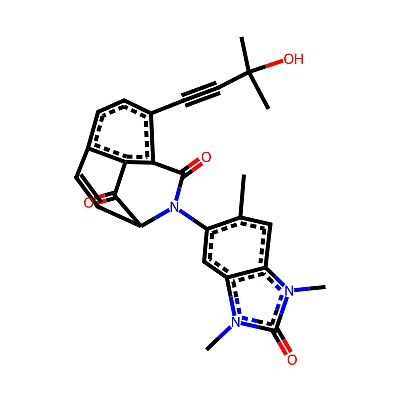 Cc1cc2c(cc1N1C(=O)c3c(C#CC(C)(C)O)ccc4c3C(=O)C1C=C4)n(C)c(=O)n2C